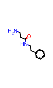 NCCC(=O)NCCc1ccccc1